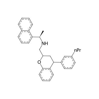 CCCc1cccc(C2CC(CN[C@H](C)c3cccc4ccccc34)Oc3ccccc32)c1